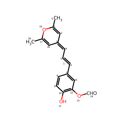 CC1=CC(=C/C=C/c2ccc(O)c(OC=O)c2)C=C(C)O1